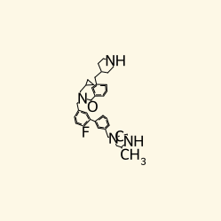 C[C@H]1CN(Cc2cccc(-c3cc(CN(CC4CC4)C(=O)c4cccc(CC5CCNCC5)c4)ccc3F)c2)CCN1